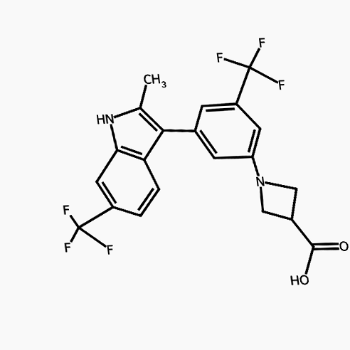 Cc1[nH]c2cc(C(F)(F)F)ccc2c1-c1cc(N2CC(C(=O)O)C2)cc(C(F)(F)F)c1